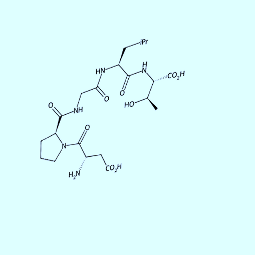 CC(C)C[C@H](NC(=O)CNC(=O)[C@@H]1CCCN1C(=O)[C@@H](N)CC(=O)O)C(=O)N[C@H](C(=O)O)[C@@H](C)O